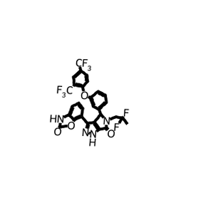 CC(F)(F)CN1C(=O)c2[nH]nc(-c3cccc4[nH]c(=O)oc34)c2C1c1cccc(Oc2ccc(C(F)(F)F)cc2C(F)(F)F)c1